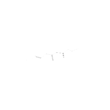 CC=CCC(=O)CC(=O)CCC